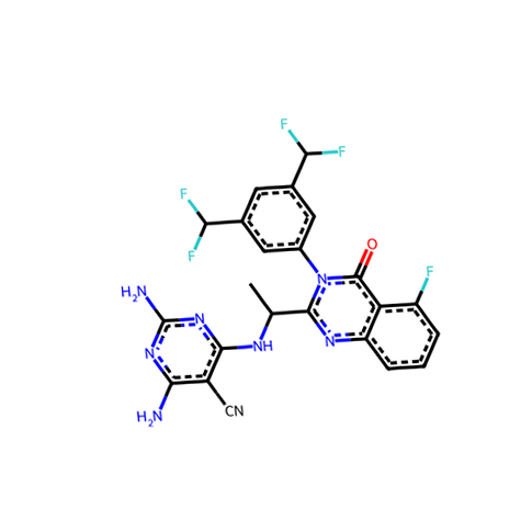 CC(Nc1nc(N)nc(N)c1C#N)c1nc2cccc(F)c2c(=O)n1-c1cc(C(F)F)cc(C(F)F)c1